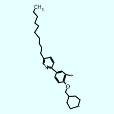 CCCCCCCCCCc1ccc(-c2ccc(OCC3CC[CH]CC3)c(F)c2)nc1